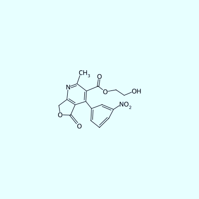 Cc1nc2c(c(-c3cccc([N+](=O)[O-])c3)c1C(=O)OCCO)C(=O)OC2